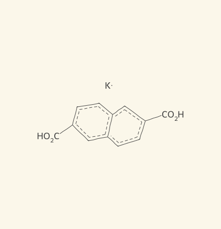 O=C(O)c1ccc2cc(C(=O)O)ccc2c1.[K]